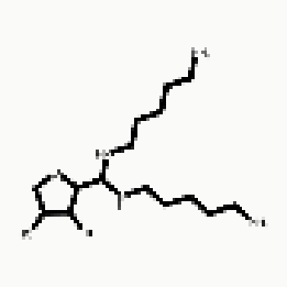 NCCCCCNC(NCCCCCN)C1OCC(O)C1O